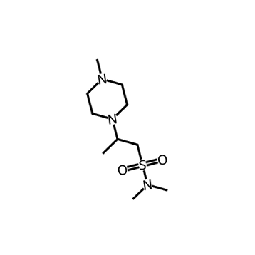 CC(CS(=O)(=O)N(C)C)N1CCN(C)CC1